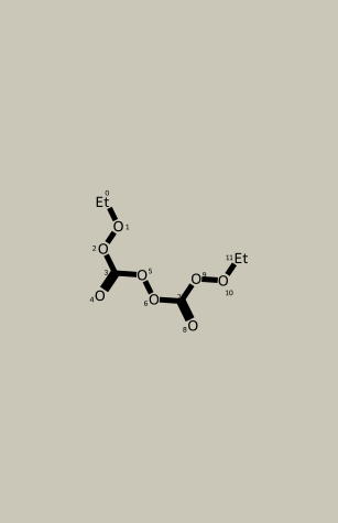 CCOOC(=O)OOC(=O)OOCC